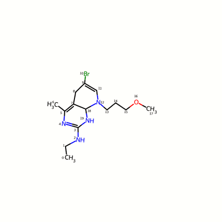 CCNC1=NC(C)=C2CC(Br)=CN(CCCOC)C2N1